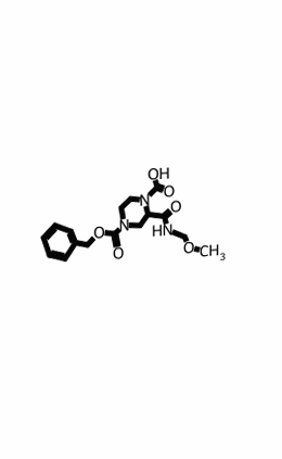 COCNC(=O)C1CN(C(=O)OCc2ccccc2)CCN1C(=O)O